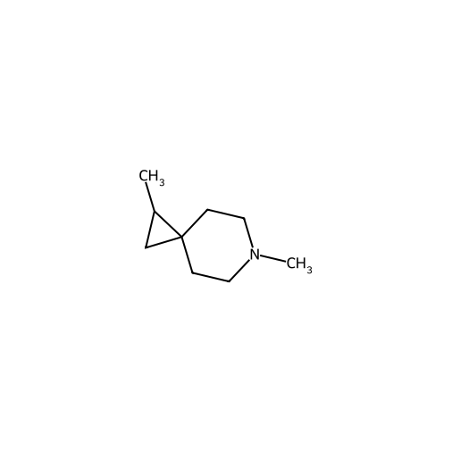 CC1CC12CCN(C)CC2